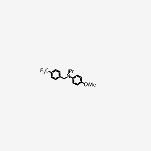 COc1ccc(N(Cc2ccc(C(F)(F)F)cc2)C(C)C)cc1